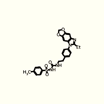 CCc1nc2cc3c(cc2n1-c1ccc(CCNC(=O)NS(=O)(=O)c2ccc(C)cc2)cc1)OCO3